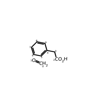 C=O.O=C(O)Cc1ccccc1